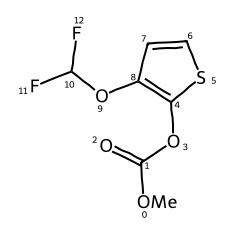 COC(=O)Oc1sccc1OC(F)F